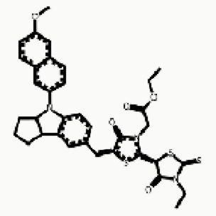 CCOC(=O)Cn1c(=O)/c(=C\c2ccc3c(c2)C2CCCC2N3c2ccc3cc(OC)ccc3c2)s/c1=C1/SC(=S)N(CC)C1=O